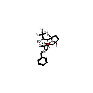 [2H]C([2H])([2H])[C@H](O)[C@@H]1[C@@H]2CC[C@H](CN1C(=O)OCc1ccccc1)N2C(=O)OC(C)(C)C